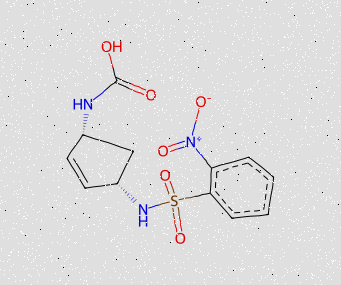 O=C(O)N[C@H]1C=C[C@@H](NS(=O)(=O)c2ccccc2[N+](=O)[O-])C1